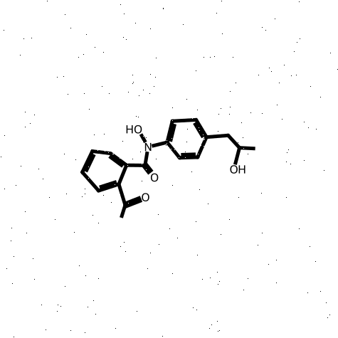 CC(=O)c1ccccc1C(=O)N(O)c1ccc(CC(C)O)cc1